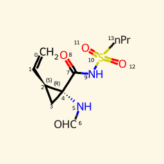 C=C[C@@H]1C[C@]1(NC=O)C(=O)NS(=O)(=O)CCC